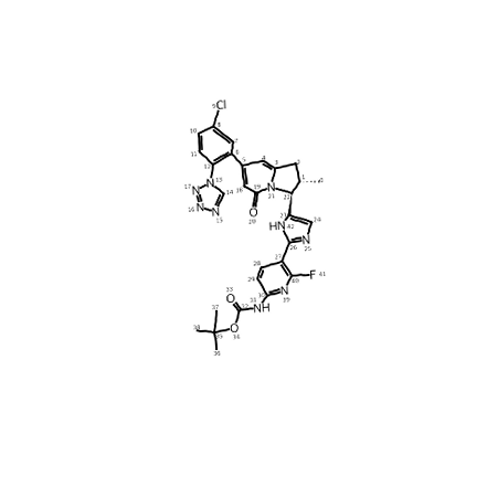 C[C@H]1Cc2cc(-c3cc(Cl)ccc3-n3cnnn3)cc(=O)n2[C@@H]1c1cnc(-c2ccc(NC(=O)OC(C)(C)C)nc2F)[nH]1